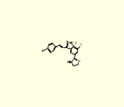 Fc1ccc(C=Cc2n[nH]c3c(F)cc(C4=NCCN4)cc23)cc1